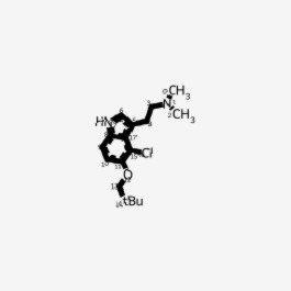 CN(C)CCc1c[nH]c2ccc(OCC(C)(C)C)c(Cl)c12